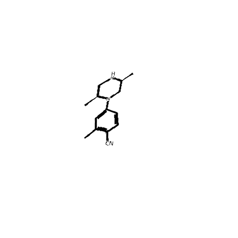 Cc1cc(N2C[C@H](C)NC[C@@H]2C)ccc1C#N